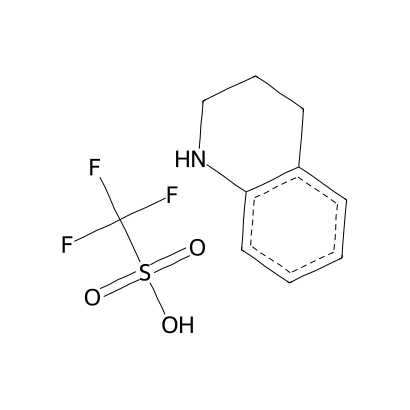 O=S(=O)(O)C(F)(F)F.c1ccc2c(c1)CCCN2